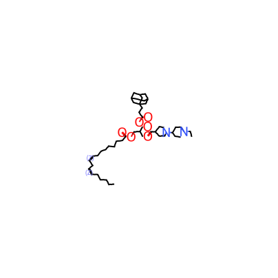 CCCCC/C=C\C/C=C\CCCCCCCC(=O)OCC(C)C(OC(=O)CCC12CC3CC(CC(C3)C1)C2)OC(=O)C1CCN(C2CCN(CC)CC2)CC1